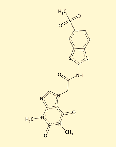 Cn1c(=O)c2c(ncn2CC(=O)Nc2nc3ccc(S(C)(=O)=O)cc3s2)n(C)c1=O